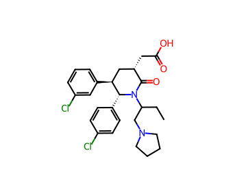 CCC(CN1CCCC1)N1C(=O)[C@@H](CC(=O)O)C[C@H](c2cccc(Cl)c2)[C@H]1c1ccc(Cl)cc1